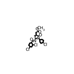 COC(=O)/C=C1/SC(=NC(=O)c2ccc(Cl)cc2Cl)N(c2ccc(Cl)cc2)C1=O